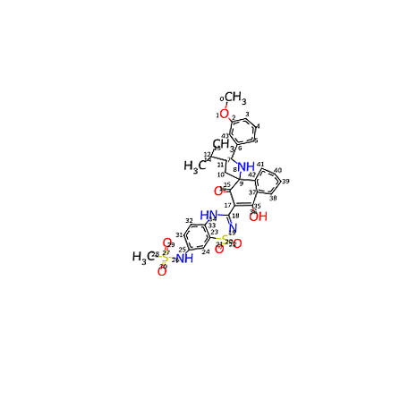 COc1cccc(CNC2(CCC(C)C)C(=O)C(C3=NS(=O)(=O)c4cc(NS(C)(=O)=O)ccc4N3)=C(O)c3ccccc32)c1